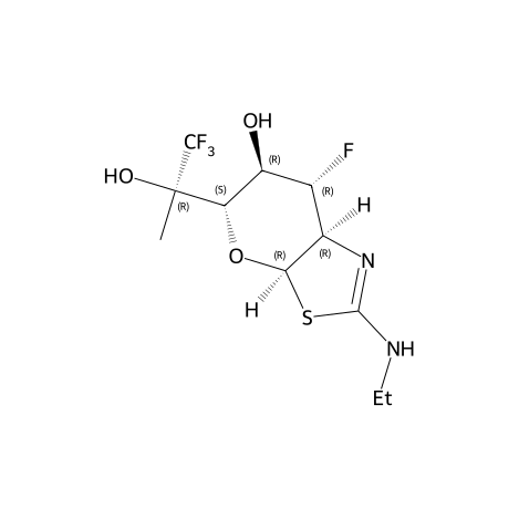 CCNC1=N[C@@H]2[C@@H](F)[C@H](O)[C@@H]([C@@](C)(O)C(F)(F)F)O[C@@H]2S1